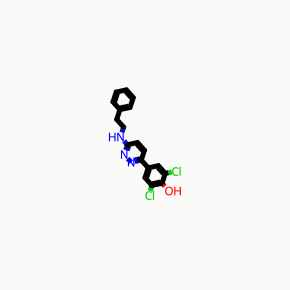 Oc1c(Cl)cc(-c2ccc(NCCc3ccccc3)nn2)cc1Cl